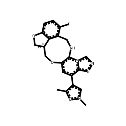 Cc1nn(C)cc1-c1cc2c(n3cnnc13)NCc1c(F)ccc3c1[C@H](CO3)CO2